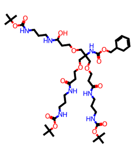 CC(C)(C)OC(=O)NCCCNC(=O)CCOCC(COCCC(=O)NCCCNC(=O)OC(C)(C)C)(COCCC(O)NCCCNC(=O)OC(C)(C)C)NC(=O)OCC1C=CC=CC1